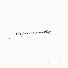 CCCCCCCCCCCCCCCCCC=CCCCCCCCCCC(=O)O